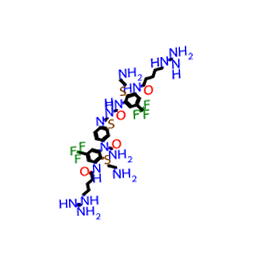 N=C(N)NCCCCC(=O)Nc1cc(C(F)(F)F)cc(NC(=O)Nc2nc3ccc(N(C(N)=O)c4cc(C(F)(F)F)cc(NC(=O)CCCCNC(=N)N)c4SCCN)cc3s2)c1SCCN